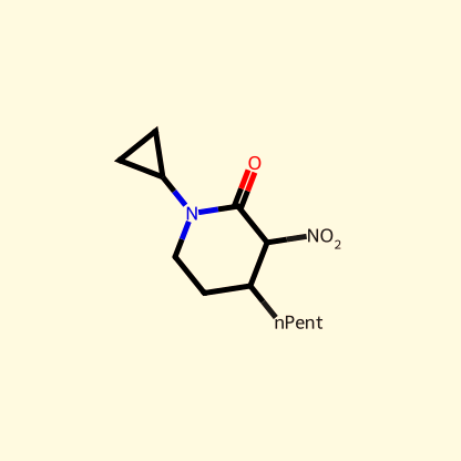 CCCCCC1CCN(C2CC2)C(=O)C1[N+](=O)[O-]